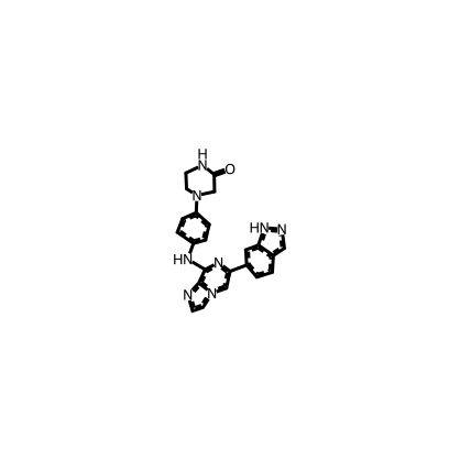 O=C1CN(c2ccc(Nc3nc(-c4ccc5cn[nH]c5c4)cn4ccnc34)cc2)CCN1